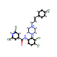 O=C(Nc1ccc(Cl)c(Cl)c1N1CCN(C/C=C/c2ccc(Cl)cc2)CC1)c1cc(Cl)nc(Cl)c1